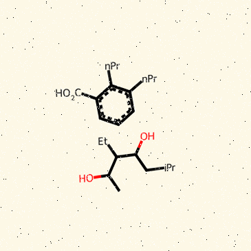 CCC(C(C)O)C(O)CC(C)C.CCCc1cccc(C(=O)O)c1CCC